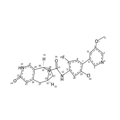 COc1cncc(-c2cc(F)c(NC(=O)N3[C@H]4CC[C@@H]3c3c[nH]c(=O)cc3C4)cc2Cl)c1